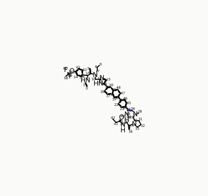 C=CNC(C(=C)N(CCC)Cc1ncc(-c2ccc3cc(-c4ccc(/C(=C/N(C)CC5CCCN5C(=C)CNC(=O)CC)NC)cc4)ccc3c2)[nH]1)c1ccc(OC(C)(F)F)cc1